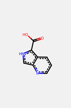 O=C(O)c1[nH]cc2ncccc12